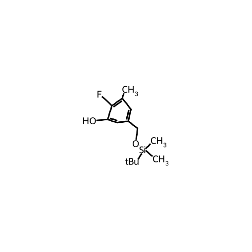 Cc1cc(CO[Si](C)(C)C(C)(C)C)cc(O)c1F